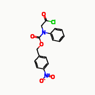 O=C(Cl)CN(C(=O)OCc1ccc([N+](=O)[O-])cc1)c1ccccc1